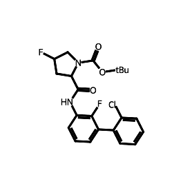 CC(C)(C)OC(=O)N1CC(F)CC1C(=O)Nc1cccc(-c2ccccc2Cl)c1F